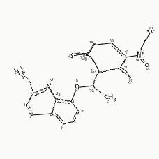 Cc1ccc2cccc(OC(C)C3C(=S)CC=C([N+](=O)[O-])C3=S)c2n1